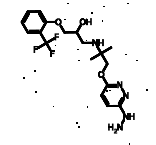 CC(C)(COc1ccc(NN)nn1)NCC(O)COc1ccccc1C(F)(F)F